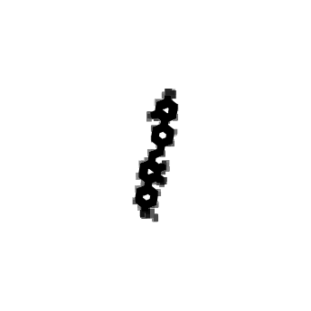 CCc1ccc(C2CCC(CCc3ccc(C4=CCC(C)CC4)c(F)c3F)CC2)c(F)c1